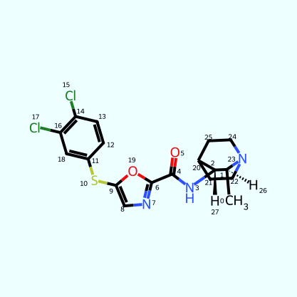 C[C@H]1[C@H](NC(=O)c2ncc(Sc3ccc(Cl)c(Cl)c3)o2)C2CCN1CC2